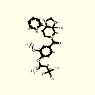 COc1cc(C(=O)N2CC[C@]3(c4ccccn4)OCO[C@@H]3C2)ccc1OC(C)CC(F)(F)F